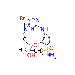 CC(C)(O)C1CCCNc2nc(ncc2Br)Nc2ccc(S(N)(=O)=O)c(c2)O1